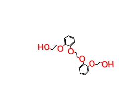 OCCOc1ccccc1OCCOc1ccccc1OCCO